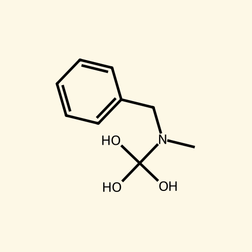 CN(Cc1ccccc1)C(O)(O)O